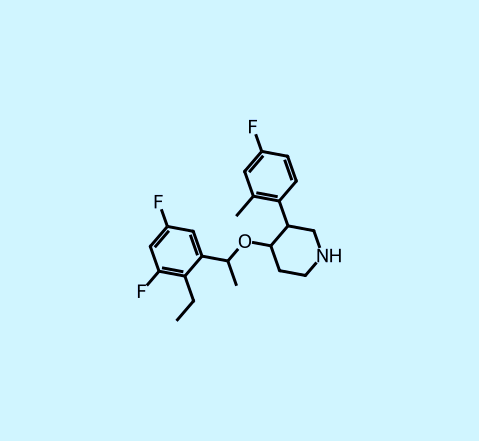 CCc1c(F)cc(F)cc1C(C)OC1CCNCC1c1ccc(F)cc1C